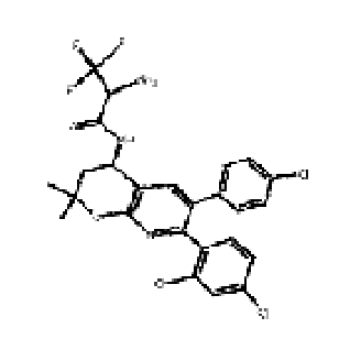 CC1(C)CC(NC(=O)C(N)C(F)(F)F)c2cc(-c3ccc(Cl)cc3)c(-c3ccc(Cl)cc3Cl)nc2O1